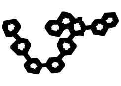 c1ccc(-c2ccc(-c3cccc(-c4cccc(-c5ccc(-c6nc(-c7ccc8ccccc8c7)nc7ccc8ccccc8c67)cc5)c4)c3)cc2)cc1